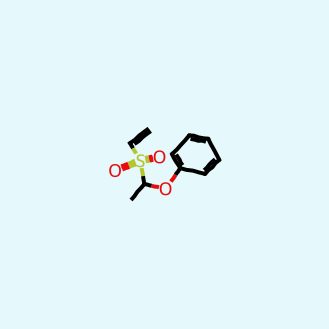 C=CS(=O)(=O)C(C)Oc1ccccc1